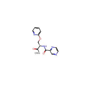 COC(=O)[C@@H](COc1ccccn1)NC(=O)c1cnccn1